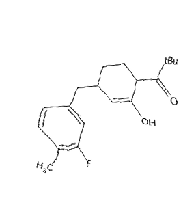 Cc1ccc(CC2C=C(O)C(C(=O)C(C)(C)C)CC2)cc1F